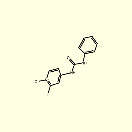 O=C(Nc1ccccc1)Nc1cc[n+]([O-])c(I)c1